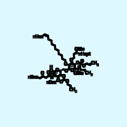 C=CCOC(=O)O[C@H]1[C@H](OCCCCCCCCCC)[C@@H](NC(=O)CC(=O)CCCCCCCCCCC)[C@@H](O)O[C@@H]1CO[C@H]1O[C@H](COC)[C@@H](OP(=O)(OCC=C)OCC=C)[C@H](OCC[C@@H](CCCCCCC)OC)[C@H]1OCCCCCCCCCC/C=C\CCCCCC